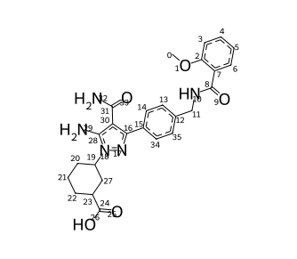 COc1ccccc1C(=O)NCc1ccc(-c2nn(C3CCCC(C(=O)O)C3)c(N)c2C(N)=O)cc1